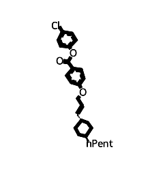 CCCCC[C@H]1CC[C@H](C=CCOc2ccc(C(=O)Oc3ccc(Cl)cc3)cc2)CC1